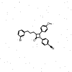 COc1ccc(C2C(CCCc3cccc(Br)c3)C(=O)N2c2ccc(C#N)cc2)cc1